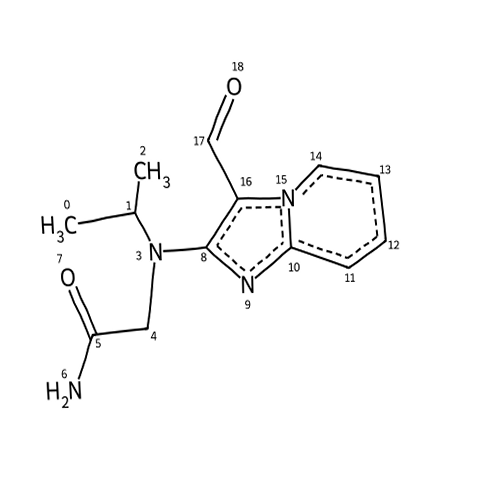 CC(C)N(CC(N)=O)c1nc2ccccn2c1C=O